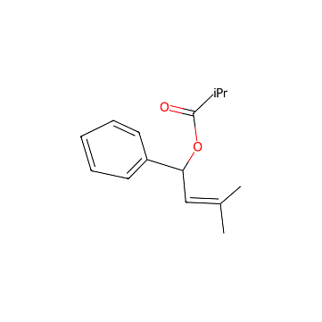 CC(C)=CC(OC(=O)C(C)C)c1ccccc1